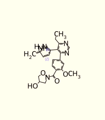 C=C(N)/C=C\C(=C/N)c1c(CC)ncnc1-c1ccc(C(=O)N2CC(O)CO2)c(OC)c1